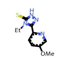 CCn1c(-c2ccc(OC)cn2)n[nH]c1=S